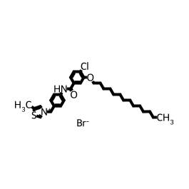 CCCCCCCCCCCCCCOc1cc(C(=O)Nc2ccc(C[n+]3csc(C)c3)cc2)ccc1Cl.[Br-]